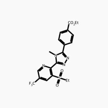 CCOC(=O)c1ccc(-c2nnc(-c3ncc(C(F)(F)F)cc3S(=O)(=O)CC)n2C)cc1